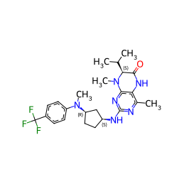 Cc1nc(N[C@H]2CC[C@@H](N(C)c3ccc(C(F)(F)F)cc3)C2)nc2c1NC(=O)[C@H](C(C)C)N2C